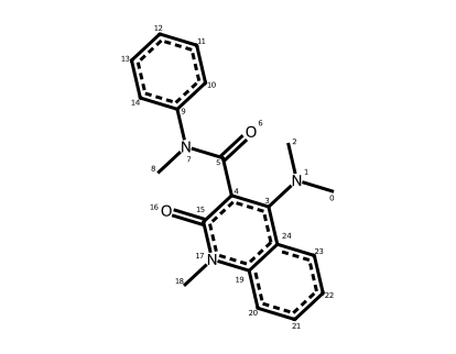 CN(C)c1c(C(=O)N(C)c2ccccc2)c(=O)n(C)c2ccccc12